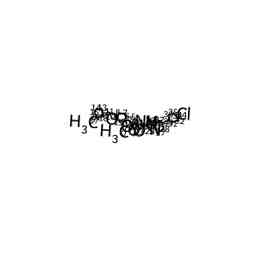 COC(=O)[C@H](Cc1ccc(OCc2cccc(C)c2)cc1)NC(=O)c1cn2ccc(-c3ccc(Cl)cc3)cc2n1